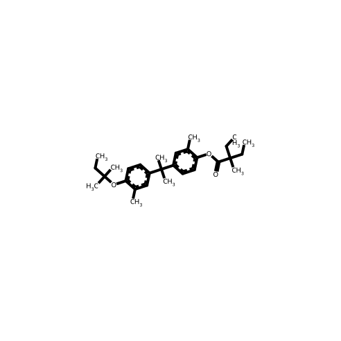 CCC(C)(C)Oc1ccc(C(C)(C)c2ccc(OC(=O)C(C)(CC)CC)c(C)c2)cc1C